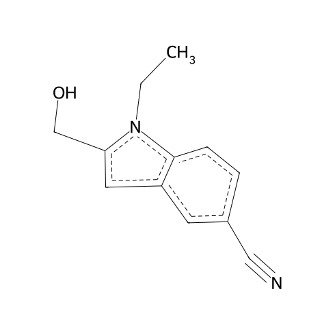 CCn1c(CO)cc2cc(C#N)ccc21